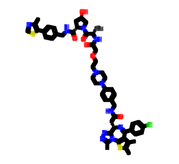 Cc1ncsc1-c1ccc(CNC(=O)[C@@H]2C[C@@H](O)CN2C(=O)[C@@H](NC(=O)COCCN2CCN(c3ccc(CNC(=O)C[C@@H]4N=C(c5ccc(Cl)cc5)c5c(sc(C)c5C)-n5c(C)nnc54)cc3)CC2)C(C)(C)C)cc1